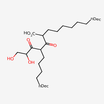 CCCCCCCCCCCCCCCCC(C(=O)O)C(=O)C(CCCCCCCCCCCCCC)C(=O)C(O)CO